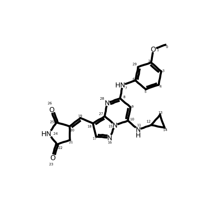 COc1cccc(Nc2cc(NC3CC3)n3ncc(/C=C4\CC(=O)NC4=O)c3n2)c1